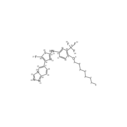 CCCCCCCCOc1ccc(Nc2nc(-c3ccc4nncn4c3)c(F)s2)cc1C(F)(F)F